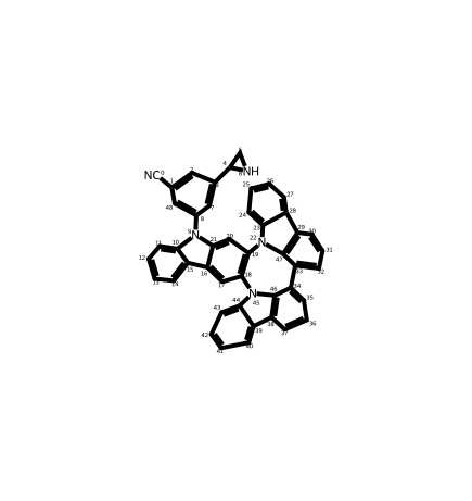 N#Cc1cc(C2CN2)cc(-n2c3ccccc3c3cc4c(cc32)n2c3ccccc3c3cccc(c5cccc6c7ccccc7n4c65)c32)c1